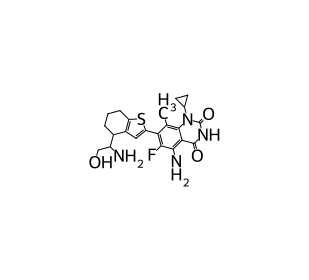 Cc1c(-c2cc3c(s2)CCCC3C(N)CO)c(F)c(N)c2c(=O)[nH]c(=O)n(C3CC3)c12